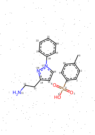 Cc1ccc(S(=O)(=O)O)cc1.NCCc1ccn(-c2ccccc2)n1